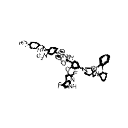 CC(C)c1ccccc1[C@H]1CCC[C@H]1N1CC2(CCN(c3ccc(C(=O)NS(=O)(=O)c4ccc(NC[C@H]5CC[C@](C)(O)CC5)c([N+](=O)[O-])c4)c(Oc4cc5c(F)c[nH]c5nc4F)c3)CC2)C1